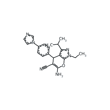 CCn1nc(C(C)C)c2c1OC(N)=C(C#N)C2c1ccc(-n2ccnc2)cc1